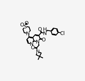 CC1(C)CN(C(=O)Cn2c(=O)c(C(=O)NCc3ccc(Cl)cc3)cc3c(N4CCS(=O)(=O)CC4)ccnc32)C1